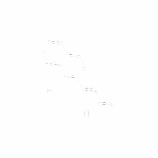 C/C(=C\c1ccc2ccccc2c1)C(=O)O.Cl